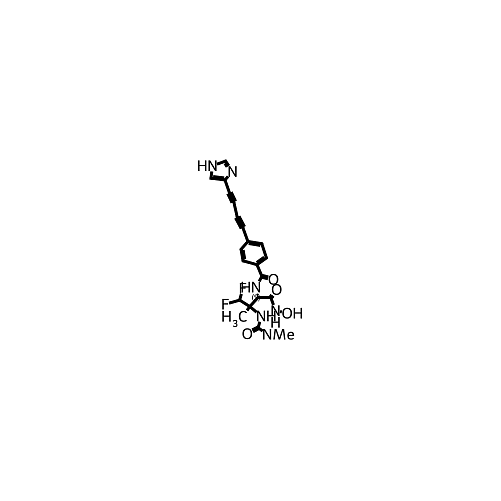 CNC(=O)NC(C)(C(F)F)[C@H](NC(=O)c1ccc(C#CC#Cc2c[nH]cn2)cc1)C(=O)NO